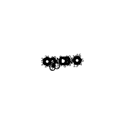 O=S1(=O)C(N2CC3CC(C2)CN(c2ccccc2)C3)=Cc2ccccc21